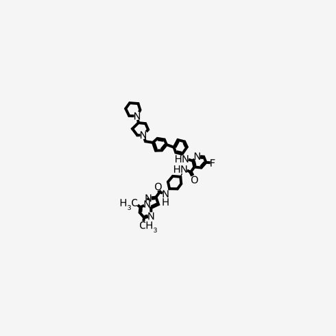 Cc1cc(C)n2nc(C(=O)N[C@H]3CC[C@@H](NC(=O)c4cc(F)cnc4Nc4cccc(-c5ccc(CN6CCC(N7CCCCC7)CC6)cc5)c4)CC3)cc2n1